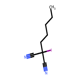 CCCCCC(I)(C#N)C#N